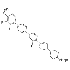 CCCCCCCC1CCC(C2CC=C(c3ccc(-c4ccc(-c5ccc(OCCC)c(F)c5F)cc4)cc3F)CC2)CC1